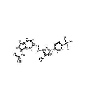 Cc1nn(-c2ccc(C(F)(F)F)cc2)nc1COc1ccc2scc(CC(=O)O)c2c1